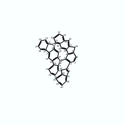 C1=C(c2ccc3c(c2-n2c4ccccc4c4cc5c(cc42)oc2ccccc25)-c2cc4ccccc4cc2C3)Cc2ccccc21